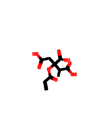 C=CC(=O)OC(CC(=O)O)(C(=O)O)C(C)C(=O)O